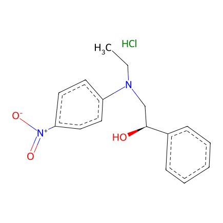 CCN(C[C@H](O)c1ccccc1)c1ccc([N+](=O)[O-])cc1.Cl